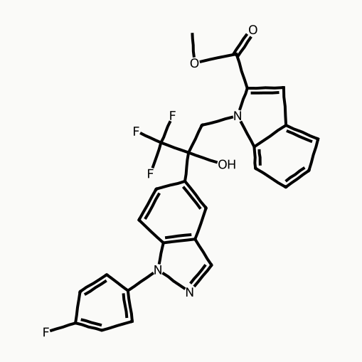 COC(=O)c1cc2ccccc2n1CC(O)(c1ccc2c(cnn2-c2ccc(F)cc2)c1)C(F)(F)F